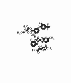 CCOC(=O)C(C)OC(=O)c1cc(Oc2ccc(C(F)(F)F)cc2Cl)ccc1[N+](=O)[O-].CP(=O)(O)CCC(N)C(=O)O.Cc1ccn2nc(S(=O)(=O)Nc3c(F)cccc3F)nc2n1